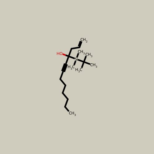 C=CCC(O)(C#CCCCCCC)[Si](C)(C)C(C)(C)C